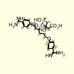 N=C(N)c1ccc(OCCCCCOc2ccc(C(=N)N)cc2)cc1.O=C(O)CC(O)(CC(=O)O)C(=O)O